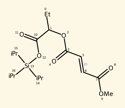 CCC(OC(=O)/C=C/C(=O)OC)C(=O)O[Si](C(C)C)(C(C)C)C(C)C